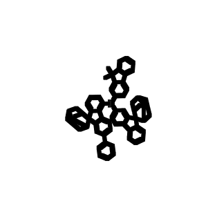 CC1(C)c2ccccc2-c2ccc(N(c3ccc4c(c3)C3(c5ccccc5-4)C4CC5CC(C4)CC3C5)c3cccc4c3-c3ccc(-c5ccccc5)cc3C43C4CC5CC(C4)CC3C5)cc21